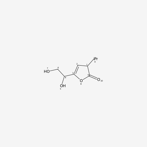 CC(C)C1C=C(C(O)CO)OC1=O